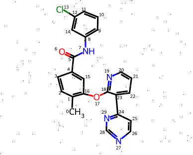 Cc1ccc(C(=O)Nc2cccc(Cl)c2)cc1Oc1ncccc1-c1ccncn1